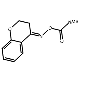 CNC(=O)ON=C1CCOc2ccccc21